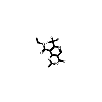 CCOC(=O)c1c(C(F)(F)F)ncc(C(=O)O)c1OC(C)C